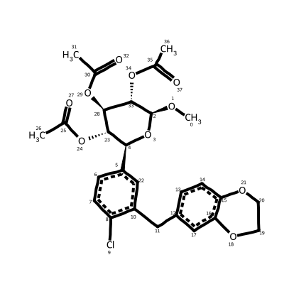 CO[C@H]1O[C@@H](c2ccc(Cl)c(Cc3ccc4c(c3)OCCO4)c2)[C@H](OC(C)=O)[C@@H](OC(C)=O)[C@@H]1OC(C)=O